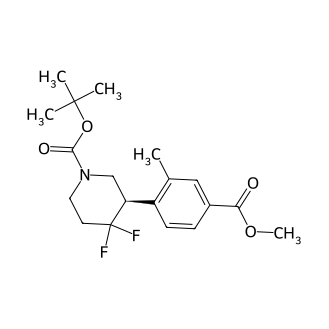 COC(=O)c1ccc([C@@H]2CN(C(=O)OC(C)(C)C)CCC2(F)F)c(C)c1